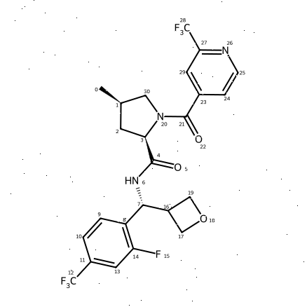 C[C@@H]1C[C@H](C(=O)N[C@@H](c2ccc(C(F)(F)F)cc2F)C2COC2)N(C(=O)c2ccnc(C(F)(F)F)c2)C1